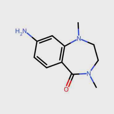 CN1CCN(C)c2cc(N)ccc2C1=O